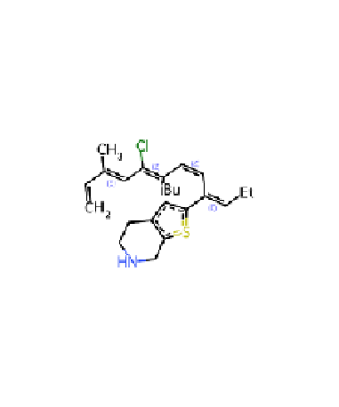 C=C/C(C)=C/C(Cl)=C(/C=C\C(=C/CC)c1cc2c(s1)CNCC2)C(C)CC